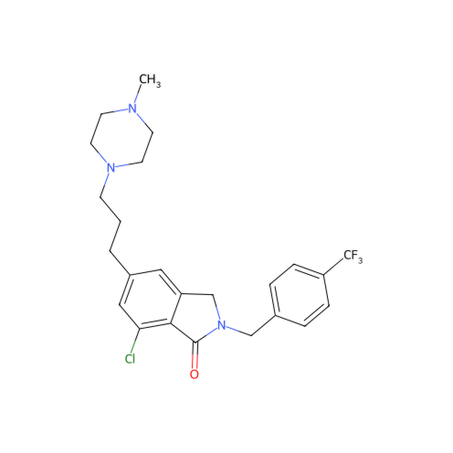 CN1CCN(CCCc2cc(Cl)c3c(c2)CN(Cc2ccc(C(F)(F)F)cc2)C3=O)CC1